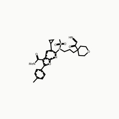 CNC(=O)c1c(-c2ccc(C)cc2)oc2nc(N(CCCC3(C(=O)C=N)CCOCC3)S(C)(=O)=O)c(C3CC3)cc12